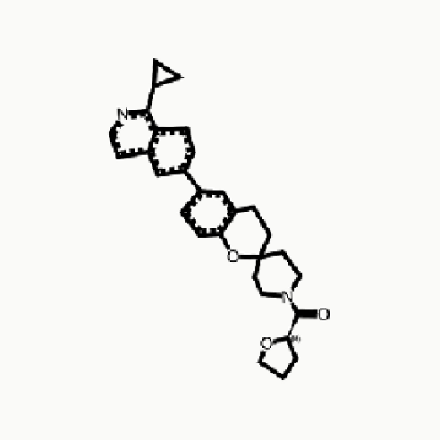 O=C([C@H]1CCCO1)N1CCC2(CCc3cc(-c4ccc5c(C6CC6)nccc5c4)ccc3O2)CC1